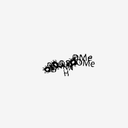 COc1cc2nc(NC(=O)Cc3cccc(S(=O)(=O)C4CCCC4)c3)sc2cc1OC